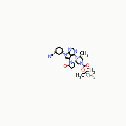 C[C@H]1CN(C(=O)OC(C)(C)C)CCN1c1ncnc2c1c(N1CCCC1=O)cn2[C@H]1CCC[C@@H](C#N)C1